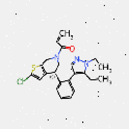 C=CC(=O)N1Cc2sc(Cl)cc2[C@H](c2ccccc2-c2cnn(CC)c2CC)C1